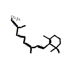 CCOC(=O)/C=C(C)/C=C/C=C(C)\C=C\C1=C(C)CCCC1(C)C